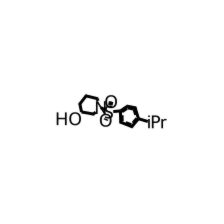 CC(C)c1ccc(S(=O)(=O)N2CCCC(O)C2)cc1